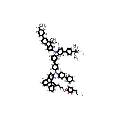 C=Cc1ccc(OCCCCCC2(C3=CCCC=C3)C3=CC(N(C4=CC=C(c5ccc6c(c5)C5CC(C7=CCC(C(C)(C)C)C=C7)=CC=C5N6c5ccc6c(c5)C(C)(C)C5=CC(C7=CCC(C=C)C=C7)=CCC56)CC4)C4=CCC(C5=CCCCC5)CC4)CC=C3C3C=CC=CC32)cc1